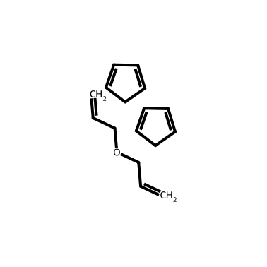 C1=CCC=C1.C1=CCC=C1.C=CCOCC=C